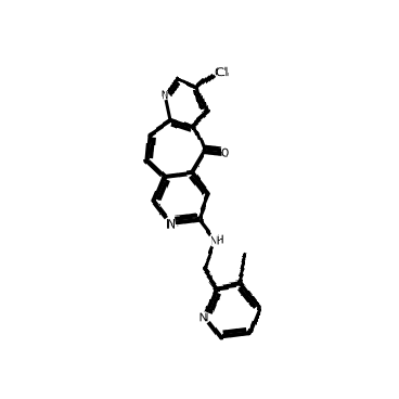 Cc1cccnc1CNc1cc2c(=O)c3cc(Cl)cnc3ccc2cn1